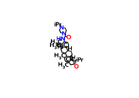 CC(C)C1=C2[C@H]3CC[C@@H]4[C@@]5(C)CCC(NC(=O)N6CCN(C(C)C)CC6)C(C)(C)[C@@H]5CC[C@@]4(C)[C@]3(C)CC[C@@]2(C)CC1=O